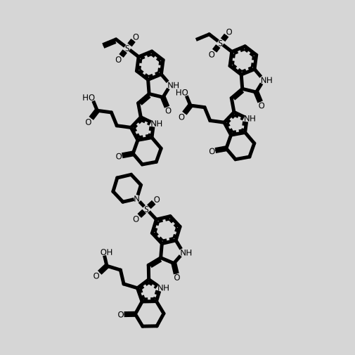 C=CS(=O)(=O)c1ccc2c(c1)C(=Cc1[nH]c3c(c1CCC(=O)O)C(=O)CCC3)C(=O)N2.CCS(=O)(=O)c1ccc2c(c1)C(=Cc1[nH]c3c(c1CCC(=O)O)C(=O)CCC3)C(=O)N2.O=C(O)CCc1c(C=C2C(=O)Nc3ccc(S(=O)(=O)N4CCCCC4)cc32)[nH]c2c1C(=O)CCC2